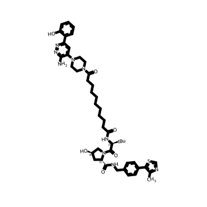 Cc1ncsc1-c1ccc(CNC(=O)[C@@H]2C[C@@H](O)CN2C(=O)[C@@H](NC(=O)CCCCCCCCCC(=O)N2CCN(c3cc(-c4ccccc4O)nnc3N)CC2)C(C)(C)C)cc1